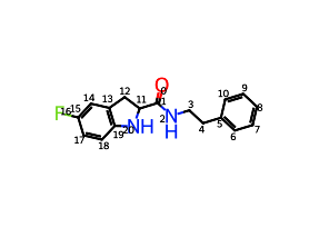 O=C(NCCc1ccccc1)C1Cc2cc(F)ccc2N1